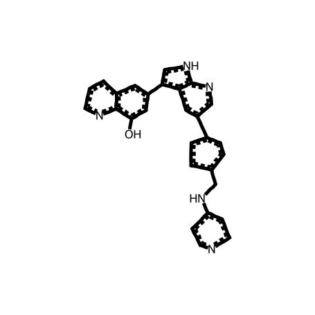 Oc1cc(-c2c[nH]c3ncc(-c4ccc(CNc5ccncc5)cc4)cc23)cc2cccnc12